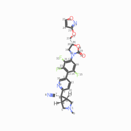 CN1C[C@@H]2[C@H](C1)[C@@]2(C#N)c1ccc(-c2c(F)cc(N3C[C@H](COc4ccon4)OC3=O)c(F)c2F)cn1